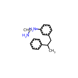 CC(Cc1cccc(N)c1)c1ccccc1.NC=O